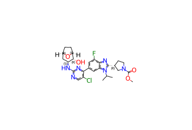 COC(=O)N1CC[C@@H](c2nc3c(F)cc(-c4nc(N[C@H]5C[C@H]6CC[C@H](O6)[C@@H]5O)ncc4Cl)cc3n2C(C)C)C1